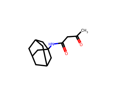 CC(=O)CC(=O)NC12CC3CC(CC(C3)C1)C2